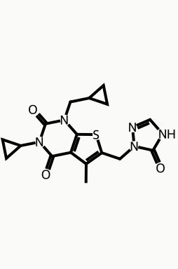 Cc1c(Cn2nc[nH]c2=O)sc2c1c(=O)n(C1CC1)c(=O)n2CC1CC1